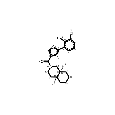 O=C(c1csc(-c2cccc(Cl)c2Cl)n1)N1CC[C@H]2CCCC[C@@H]2C1